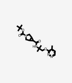 Cc1ccnnc1OCC(C)(C)NC(=O)C1C2CN(C(=O)OC(C)(C)C)CC21